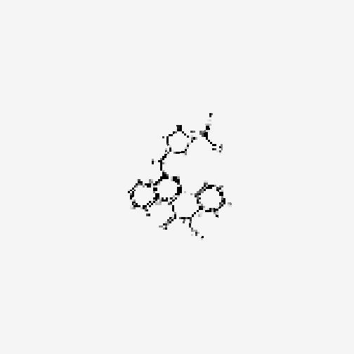 CN(C(=O)c1ccc(N[C@H]2CCN(C(=O)O)C2)c2cccnc12)c1ccccc1